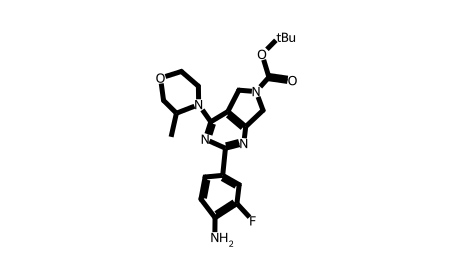 CC1COCCN1c1nc(-c2ccc(N)c(F)c2)nc2c1CN(C(=O)OC(C)(C)C)C2